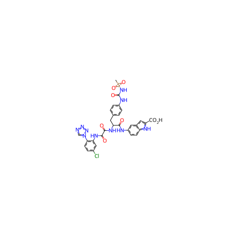 CS(=O)(=O)NC(=O)Nc1ccc(CC(NC(=O)C(=O)Nc2cc(Cl)ccc2-n2cnnn2)C(=O)Nc2ccc3[nH]c(C(=O)O)cc3c2)cc1